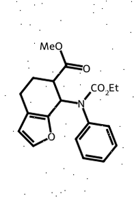 CCOC(=O)N(c1ccccc1)C1c2occc2CCC1C(=O)OC